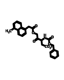 Cc1cccc2c(CC(=O)OCC(=O)C(CC(=O)O)NC(=O)OCc3ccccc3)cccc12